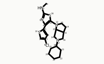 CNc1nc(-c2cc(Cl)cs2)c(N2CCC3CN(C4CCCCC4)CC32)s1